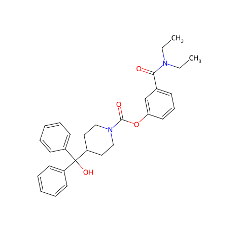 CCN(CC)C(=O)c1cccc(OC(=O)N2CCC(C(O)(c3ccccc3)c3ccccc3)CC2)c1